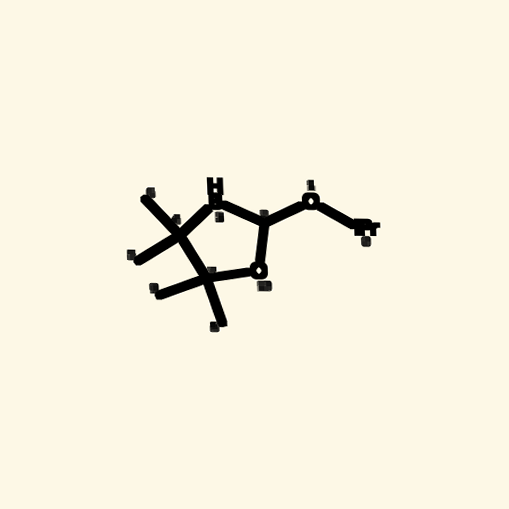 CC(C)OC1BC(C)(C)C(C)(C)O1